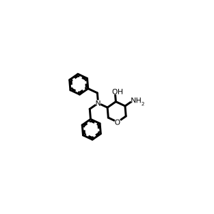 NC1COCC(N(Cc2ccccc2)Cc2ccccc2)C1O